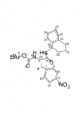 CC(C)(C)OC(=O)N[C@@H](Cc1ccc([N+](=O)[O-])cc1)C(=O)NC1CCCc2ccccc21